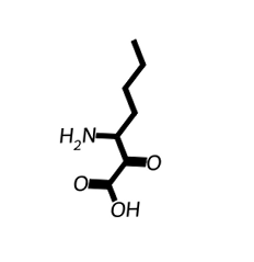 CCCCC(N)C(=O)C(=O)O